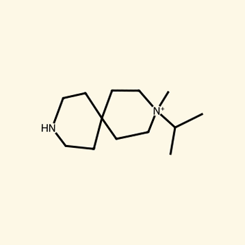 CC(C)[N+]1(C)CCC2(CCNCC2)CC1